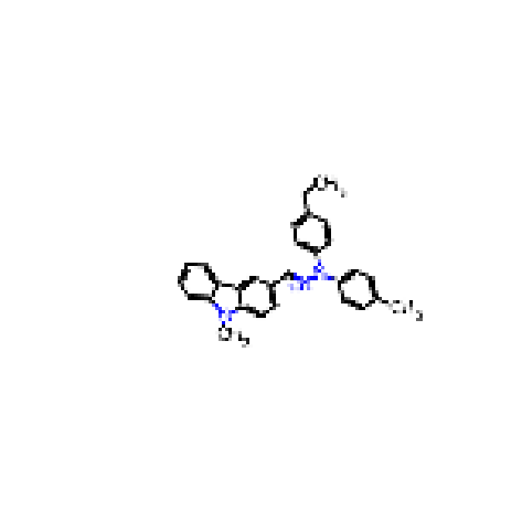 CCc1ccc(N(/N=C/c2ccc3c(c2)c2ccccc2n3C)c2ccc(C)cc2)cc1